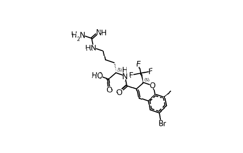 Cc1cc(Br)cc2c1O[C@H](C(F)(F)F)C(C(=O)N[C@@H](CCCNC(=N)N)C(=O)O)=C2